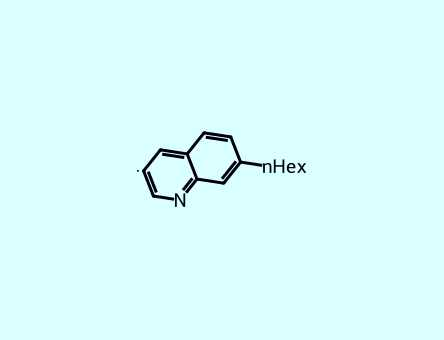 CCCCCCc1ccc2c[c]cnc2c1